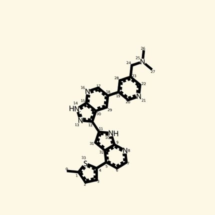 Cc1ccc(-c2ccnc3[nH]c(-c4n[nH]c5ncc(-c6cncc(CN(C)C)c6)cc45)cc23)s1